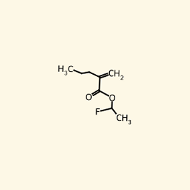 C=C(CCC)C(=O)OC(C)F